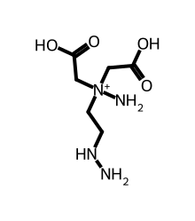 NNCC[N+](N)(CC(=O)O)CC(=O)O